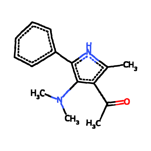 CC(=O)c1c(C)[nH]c(-c2ccccc2)c1N(C)C